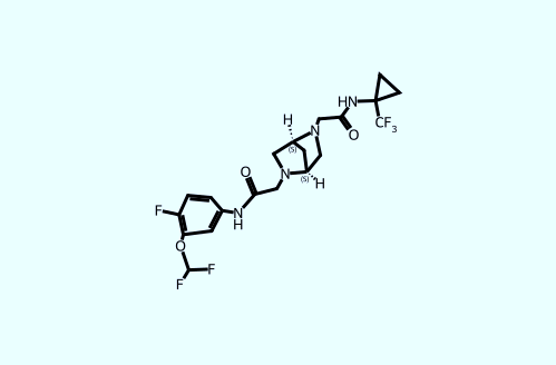 O=C(CN1C[C@@H]2C[C@H]1CN2CC(=O)NC1(C(F)(F)F)CC1)Nc1ccc(F)c(OC(F)F)c1